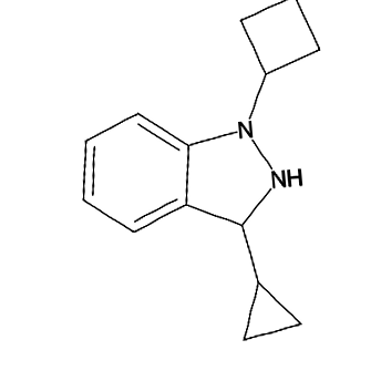 c1ccc2c(c1)C(C1CC1)NN2C1CCC1